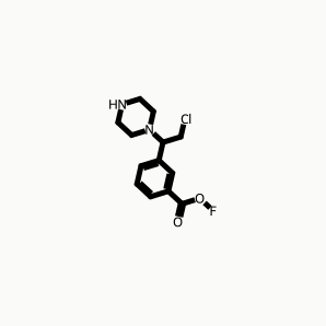 O=C(OF)c1cccc(C(CCl)N2CCNCC2)c1